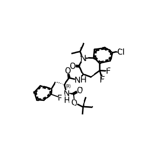 CC(C)N1C(=O)C(NC(=O)[C@@H](Cc2ccccc2F)NC(=O)OC(C)(C)C)CC(F)(F)c2cc(Cl)ccc21